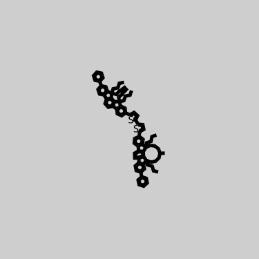 CCCCC1(CCCC)c2cc(-c3ccccc3)ccc2-c2ccc3c(c21)C(CCCC)(CCCC)c1cc(-c2ccc(-c4ccc(-c5ccc6c(c5)C5(CCCC)CCCC(C)CCCC7(CCCC)c8cc(-c9ccccc9)ccc8-c8ccc-6c5c87)s4)s2)ccc1-3